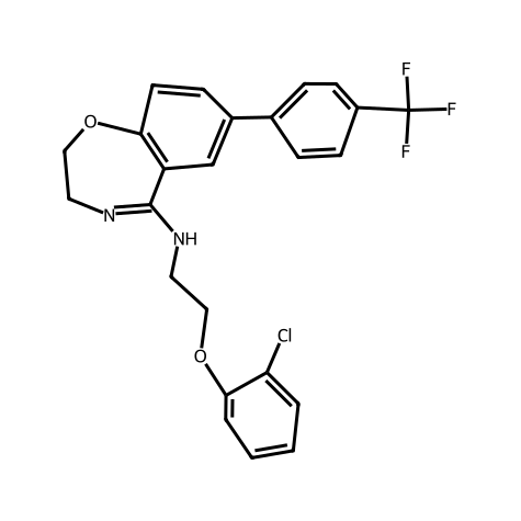 FC(F)(F)c1ccc(-c2ccc3c(c2)C(NCCOc2ccccc2Cl)=NCCO3)cc1